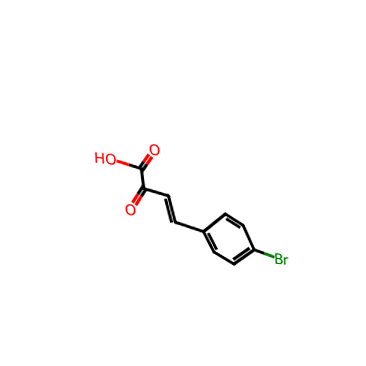 O=C(O)C(=O)C=Cc1ccc(Br)cc1